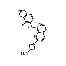 NC1CN(c2ccc3ncnc(Nc4ccc5cnsc5c4F)c3n2)C1